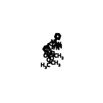 CC(C)OC(OC(C)C)C(=O)Nc1cccc(CO/N=C(/c2ccccc2)c2nnnn2C)n1